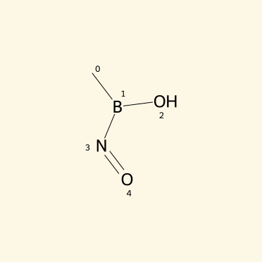 CB(O)N=O